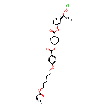 C=CC(=O)OCCCCCCOc1ccc(C(=O)O[C@H]2CC[C@H](C(=O)O/C(C=C)=C/C=C(\C)OOCl)CC2)cc1